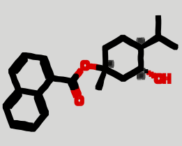 CC(C)[C@@H]1CC[C@@](C)(OC(=O)c2cccc3ccccc23)C[C@H]1O